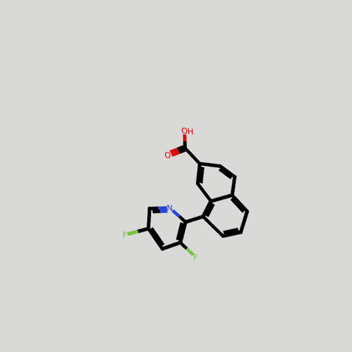 O=C(O)c1ccc2cccc(-c3ncc(F)cc3F)c2c1